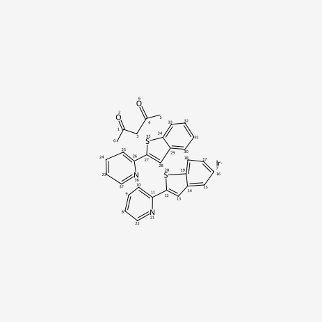 CC(=O)CC(C)=O.[Ir].c1ccc(-c2cc3ccccc3s2)nc1.c1ccc(-c2cc3ccccc3s2)nc1